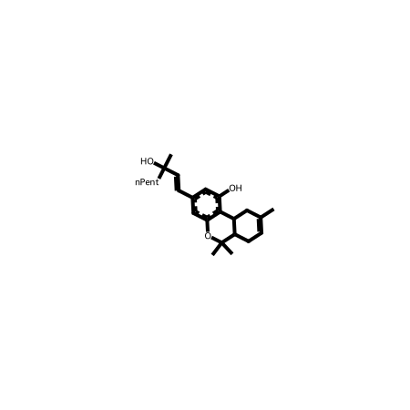 CCCCCC(C)(O)C=Cc1cc(O)c2c(c1)OC(C)(C)C1CC=C(C)CC21